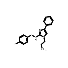 CCCn1cc(-c2ccccc2)nc1NSc1ccc(F)cc1